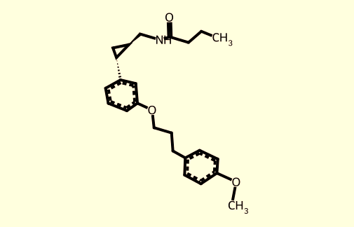 CCCC(=O)NC[C@@H]1C[C@H]1c1cccc(OCCCc2ccc(OC)cc2)c1